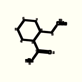 CCCCC(=O)[C]1CCCCC1COC